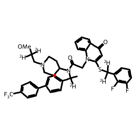 [2H]C([2H])(CN1CCC(N(C(=O)Cn2c(SC([2H])([2H])c3cccc(F)c3F)cc(=O)c3ccccc32)C([2H])(C)c2ccc(-c3ccc(C(F)(F)F)cc3)cc2)CC1)OC